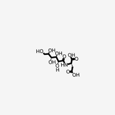 O=C(O)C[C@H](NC(=O)[C@H](O)[C@@H](O)[C@H](O)[C@H](O)CO)C(=O)O